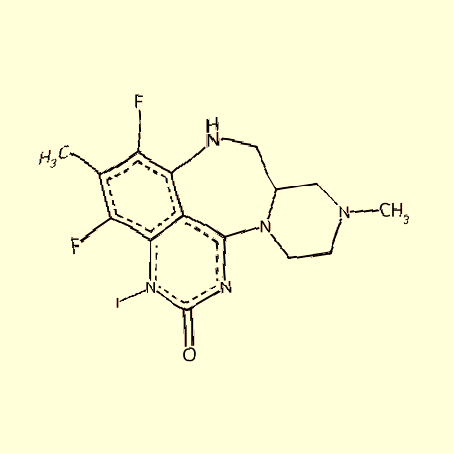 Cc1c(F)c2c3c(nc(=O)n(I)c3c1F)N1CCN(C)CC1CN2